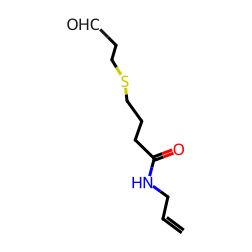 C=CCNC(=O)CCCSCCC=O